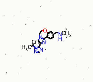 CNCc1ccc2c(c1)OCCN1CC(c3ncnn3C(C)C)N=C21